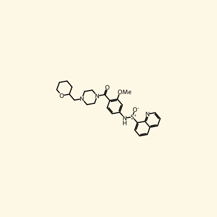 COc1cc(N[S+]([O-])c2cccc3cccnc23)ccc1C(=O)N1CCN(CC2CCCCO2)CC1